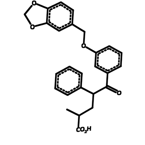 CC(CC(C(=O)c1cccc(OCc2ccc3c(c2)OCO3)c1)c1ccccc1)C(=O)O